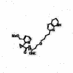 COCc1cccnc1C1(C(=O)NC(C=O)CCOCCCCc2ccc3c(n2)NCCC3)CC1